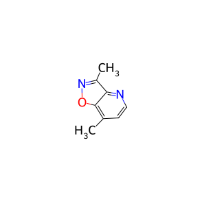 Cc1noc2c(C)ccnc12